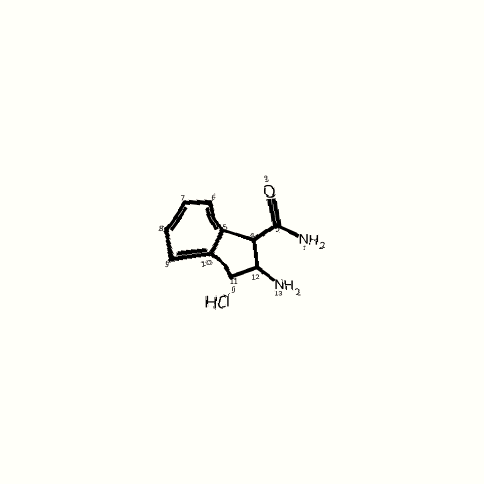 Cl.NC(=O)C1c2cc[c]cc2CC1N